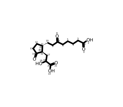 O=C(O)CCCCC(=O)CC[C@H]1CCC(=O)[C@@H]1CC(O)C(=O)O